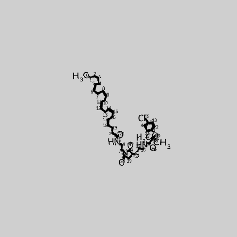 CC/C=C\C/C=C\C/C=C\C/C=C\C/C=C\C/C=C\CCC(=O)NCCN1C(=O)CC(SCCNC(=O)C(C)(C)Oc2ccc(Cl)cc2)C1=O